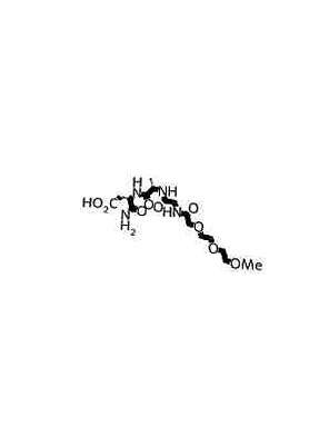 COCCOCCOCC(=O)NCC(=O)N[C@@H](C)C(=O)N[C@@H](CC(=O)O)C(N)=O